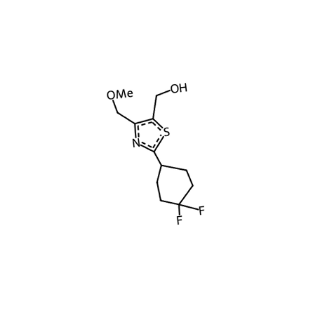 COCc1nc(C2CCC(F)(F)CC2)sc1CO